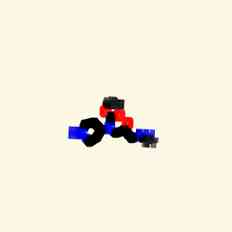 CC(C)NCC(=O)CN(C(=O)OC(C)(C)C)C1CCNCC1